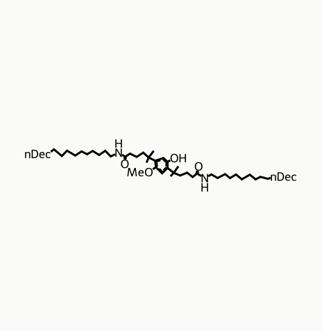 CCCCCCCCCCCCCCCCCCCCNC(=O)CCCC(C)(C)c1cc(OC)c(C(C)(C)CCCC(=O)NCCCCCCCCCCCCCCCCCCCC)cc1O